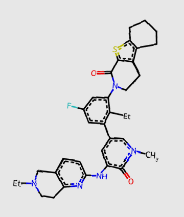 CCc1c(-c2cc(Nc3ccc4c(n3)CCN(CC)C4)c(=O)n(C)c2)cc(F)cc1N1CCc2c(sc3c2CCCC3)C1=O